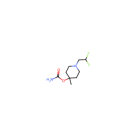 CC1(OC(N)=O)CCN(CC(F)F)CC1